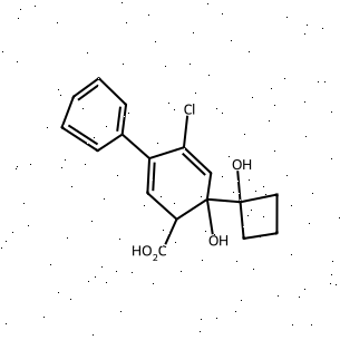 O=C(O)C1C=C(c2ccccc2)C(Cl)=CC1(O)C1(O)CCC1